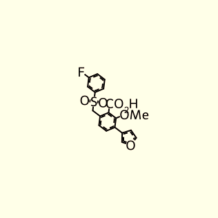 COc1c(-c2ccoc2)ccc(CS(=O)(=O)c2cccc(F)c2)c1C(=O)O